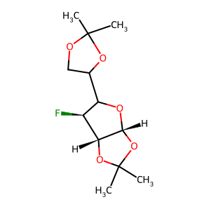 CC1(C)OCC(C2O[C@@H]3OC(C)(C)O[C@@H]3[C@H]2F)O1